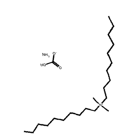 CCCCCCCCCC[N+](C)(C)CCCCCCCCCC.N.O=C([O-])O